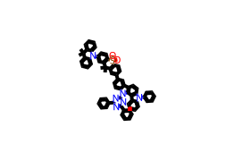 CC1(C)c2ccccc2N(c2ccc3c(c2)C(C)(C)c2cc(-c4ccc5c(c4)c4ccc6c(c7ccccc7n6-c6ccccc6)c4n5-c4nc(-c5ccccc5)nc(-c5ccccc5)n4)ccc2S3(=O)=O)c2ccccc21